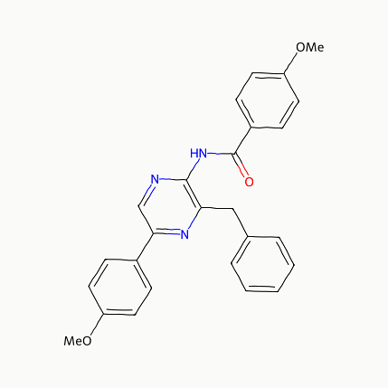 COc1ccc(C(=O)Nc2ncc(-c3ccc(OC)cc3)nc2Cc2ccccc2)cc1